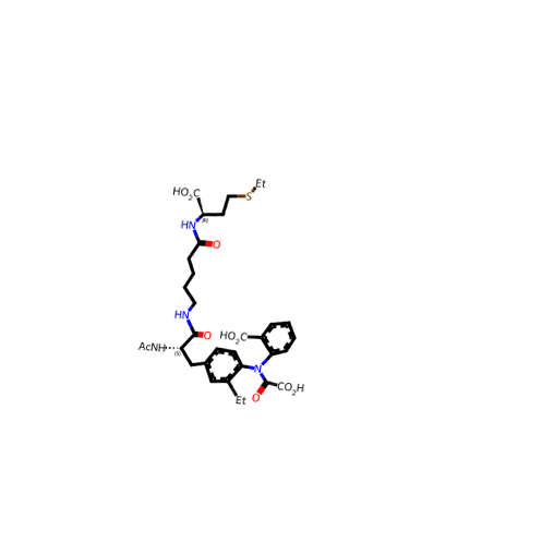 CCSCC[C@@H](NC(=O)CCCCNC(=O)[C@H](Cc1ccc(N(C(=O)C(=O)O)c2ccccc2C(=O)O)c(CC)c1)NC(C)=O)C(=O)O